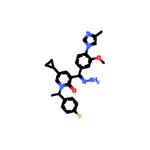 COc1cc(/C(=N\N)c2cc(C3CC3)cn(C(C)c3ccc(F)cc3)c2=O)ccc1-n1cnc(C)c1